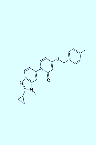 Cc1ccc(COc2ccn(-c3ccc4nc(C5CC5)n(C)c4c3)c(=O)c2)cc1